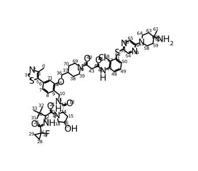 Cc1ncsc1-c1ccc(CNC(=O)[C@@H]2C[C@@H](O)CN2C(=O)[C@@H](NC(=O)C2(F)CC2)C(C)(C)C)c(OCC2CCN(C(=O)CC(=O)Nc3cccc(Sc4cnc(N5CCC(C)(N)CC5)cn4)c3Cl)CC2)c1